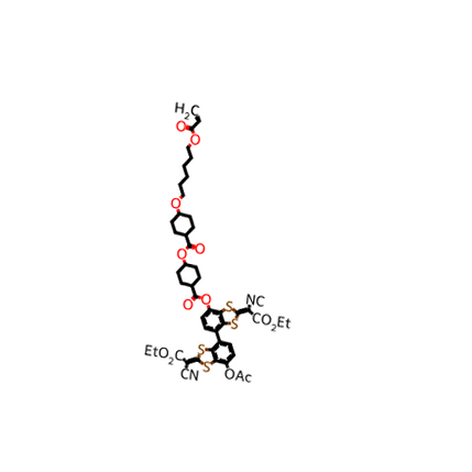 [C-]#[N+]/C(C(=O)OCC)=C1\Sc2c(OC(=O)C3CCC(OC(=O)C4CCC(OCCCCCCOC(=O)C=C)CC4)CC3)ccc(-c3ccc(OC(C)=O)c4c3S/C(=C(/C#N)C(=O)OCC)S4)c2S1